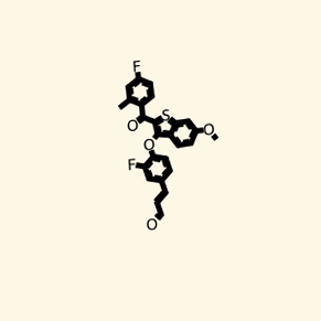 COc1ccc2c(Oc3ccc(/C=C/C=O)cc3F)c(C(=O)c3ccc(F)cc3C)sc2c1